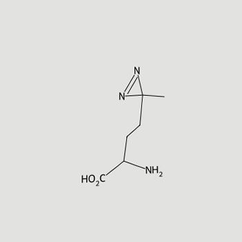 CC1(CCC(N)C(=O)O)N=N1